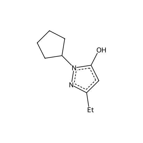 CCc1cc(O)n(C2CCCC2)n1